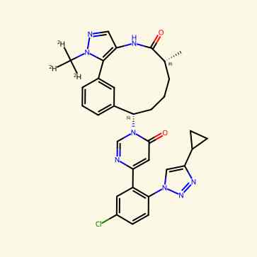 [2H]C([2H])([2H])n1ncc2c1-c1cccc(c1)[C@@H](n1cnc(-c3cc(Cl)ccc3-n3cc(C4CC4)nn3)cc1=O)CCC[C@@H](C)C(=O)N2